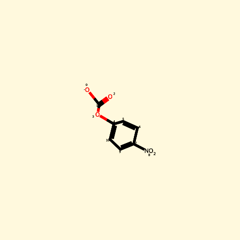 [O]C(=O)Oc1ccc([N+](=O)[O-])cc1